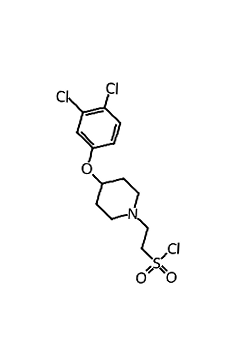 O=S(=O)(Cl)CCN1CCC(Oc2ccc(Cl)c(Cl)c2)CC1